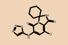 O=C1NC2(CCCCC2)n2c1c(Cl)cc(Nc1cnno1)c2=O